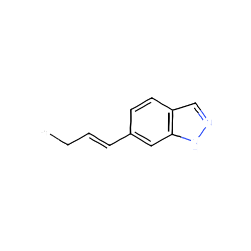 CC(C)C/C=C/c1ccc2cn[nH]c2c1